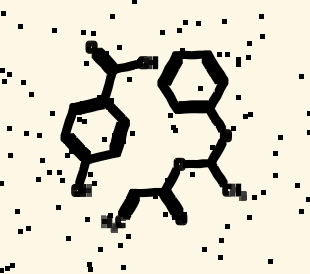 C=CC(=O)OC(C)Oc1ccccc1.O=C(O)c1ccc(O)cc1